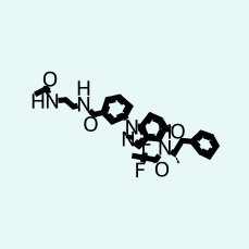 CC(=O)NCCNC(=O)c1cccc(-n2ncc3cc(O[C@H](c4ccccc4)[C@H](C)NC(=O)C(C)(F)F)ccc32)c1